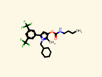 CCCCNC(=O)Oc1cc(-c2cc(C(F)(F)F)cc(C(F)(F)F)c2)n(CC2CCCCC2)c1C